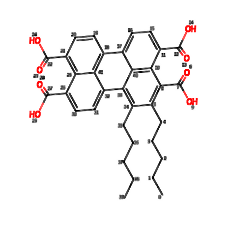 CCCCCc1c(C(=O)O)c2c(C(=O)O)ccc3c4ccc(C(=O)O)c5c(C(=O)O)ccc(c(c1CCCCC)c23)c54